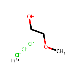 COCCO.[Cl-].[Cl-].[Cl-].[In+3]